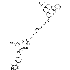 Cc1ncsc1-c1ccc(CNC(=O)[C@@H]2C[C@@H](O)CN2C(=O)C(NC(=O)CCCCCNCCCCOc2cc(F)c([C@@H]3c4c(c5ccccc5n4C)C[C@@H](C)N3CC(C)(C)F)c(F)c2)C(C)(C)C)cc1